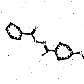 COc1ccc(/C(C)=N/OC(=O)c2ccccc2)cc1